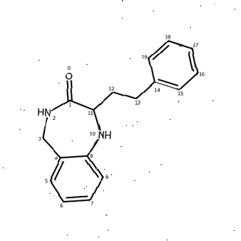 O=C1NCc2ccccc2NC1CCc1ccccc1